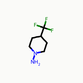 NN1CCC(C(F)(F)F)CC1